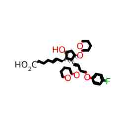 O=C(O)CCCC=CC[C@@H]1[C@@H](C=CC(COc2ccc(F)cc2)OC2CCCCO2)[C@H](OC2CCCCO2)C[C@@H]1O